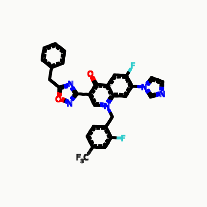 O=c1c(-c2noc(Cc3ccccc3)n2)cn(Cc2ccc(C(F)(F)F)cc2F)c2cc(-n3ccnc3)c(F)cc12